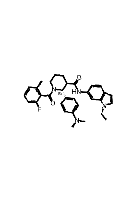 CCn1ccc2ccc(NC(=O)C3CCCN(C(=O)c4c(C)cccc4F)[C@H]3c3ccc(N(C)C)cc3)cc21